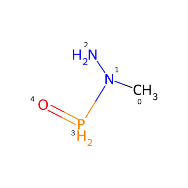 CN(N)[PH2]=O